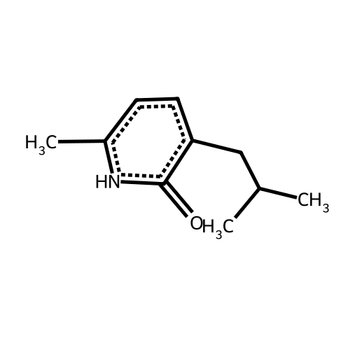 Cc1ccc(CC(C)C)c(=O)[nH]1